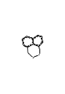 c1cc2c3c(cccc3c1)CSSC2